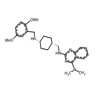 COc1ccc(OC)c(CN[C@H]2CC[C@@H](CNc3nc(N(C)C)c4ccccc4n3)CC2)c1